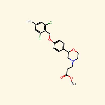 CCCc1cc(Cl)c(COc2ccc(C3CN(CCC(=O)OC(C)(C)C)CCO3)cc2)c(Cl)c1